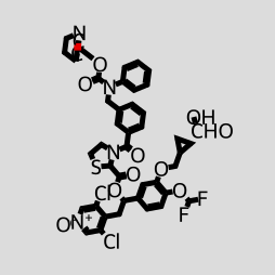 O=C(OC(Cc1c(Cl)c[n+]([O-])cc1Cl)c1ccc(OC(F)F)c(OCC2CC2)c1)C1SCCN1C(=O)c1cccc(CN(C(=O)OC2CN3CCC2CC3)c2ccccc2)c1.O=CO